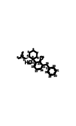 CN(C)C[C@@H]1CCCC[C@@]1(O)C1=CC=CC(Cc2ccccc2)C1=O